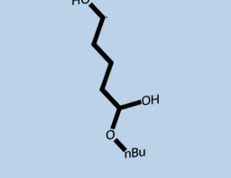 CCCCOC(O)CCC[CH]O